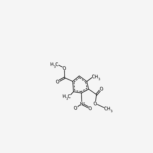 COC(=O)c1cc(C)c(C(=O)OC)c([N+](=O)[O-])c1C